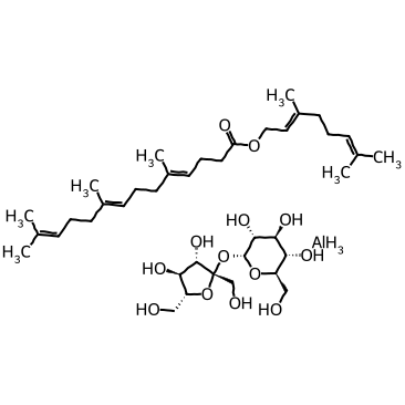 CC(C)=CCC/C(C)=C/CC/C(C)=C/CCC(=O)OC/C=C(\C)CCC=C(C)C.OC[C@H]1O[C@@](CO)(O[C@H]2O[C@H](CO)[C@@H](O)[C@H](O)[C@H]2O)[C@@H](O)[C@@H]1O.[AlH3]